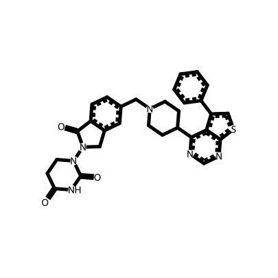 O=C1CCN(N2Cc3cc(CN4CCC(c5ncnc6scc(-c7ccccc7)c56)CC4)ccc3C2=O)C(=O)N1